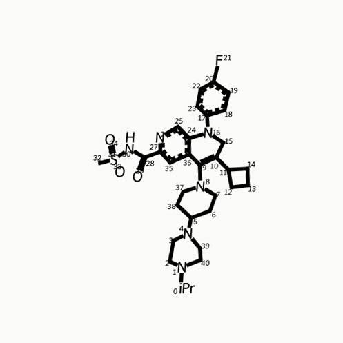 CC(C)N1CCN(C2CCN(C3=C(C4CCC4)CN(c4ccc(F)cc4)c4cnc(C(=O)NS(C)(=O)=O)cc43)CC2)CC1